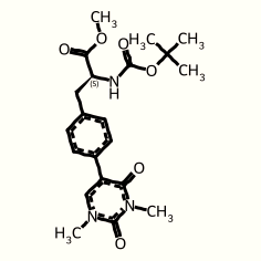 COC(=O)[C@H](Cc1ccc(-c2cn(C)c(=O)n(C)c2=O)cc1)NC(=O)OC(C)(C)C